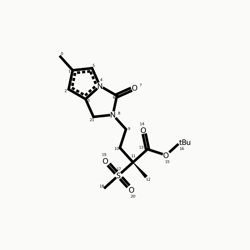 Cc1cc2n(c1)C(=O)N(CC[C@](C)(C(=O)OC(C)(C)C)S(C)(=O)=O)C2